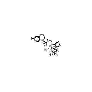 CC(C)(C)[Si](C)(C)O[C@@H](CN(C[C@H]1CCc2cc(I)ccc2O1)C(=O)O)c1cccnc1